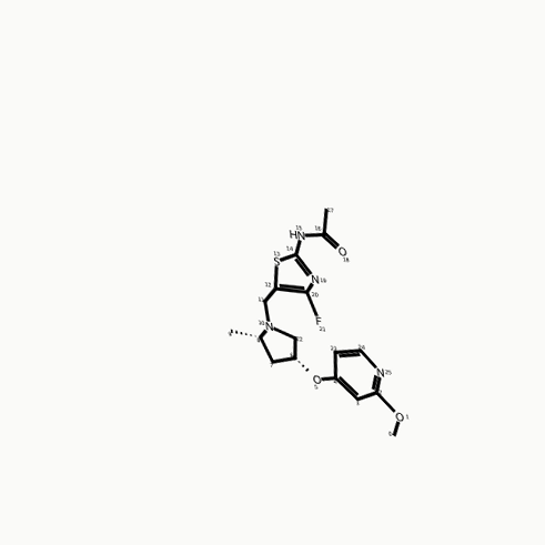 COc1cc(O[C@@H]2C[C@H](C)N(Cc3sc(NC(C)=O)nc3F)C2)ccn1